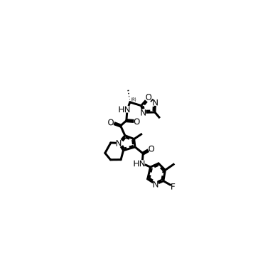 Cc1noc([C@@H](C)NC(=O)C(=O)c2c(C)c(C(=O)Nc3cnc(F)c(C)c3)c3n2CCCC3)n1